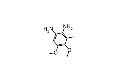 COc1cc(N)c(N)c(C)c1OC